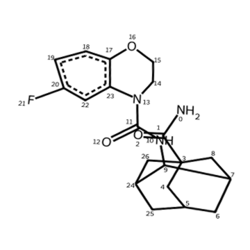 NC(=O)C12CC3CC(C1)C(NC(=O)N1CCOc4ccc(F)cc41)C(C3)C2